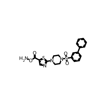 NOC(=O)c1cnc(N2CCN(S(=O)(=O)c3cccc(-c4ccccc4)c3)CC2)s1